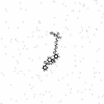 CC(C)(C)OC(=O)NCCOCCOCCOc1cccc(-n2ncc3c2CCCC3NC(=O)c2ccccn2)c1